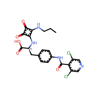 CCCNc1c(N[C@@H](Cc2ccc(NC(=O)c3c(Cl)cncc3Cl)cc2)C(=O)O)c(=O)c1=O